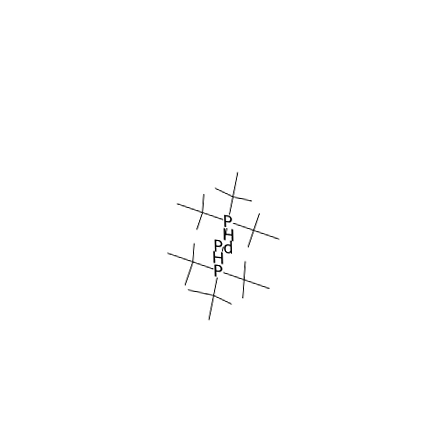 CC(C)(C)[PH]([Pd][PH](C(C)(C)C)(C(C)(C)C)C(C)(C)C)(C(C)(C)C)C(C)(C)C